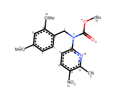 COc1ccc(CN(C(=O)OC(C)(C)C)c2ccc([N+](=O)[O-])c(C#N)n2)c(OC)c1